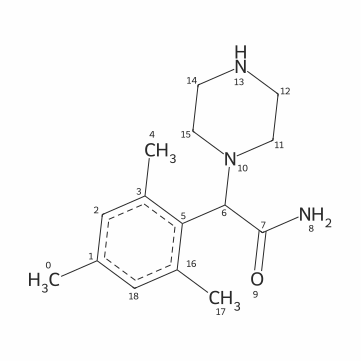 Cc1cc(C)c(C(C(N)=O)N2CCNCC2)c(C)c1